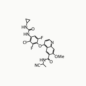 COc1cc2nccc(Oc3c(F)cc(NC(=O)NC4CC4)c(Cl)c3F)c2cc1C(=O)NC(C)C#N